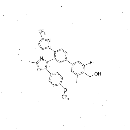 Cc1nc(-c2cc(-c3cc(C)c(CO)c(F)c3)ccc2-n2ccc(C(F)(F)F)n2)c(-c2ccc(OC(F)(F)F)cc2)o1